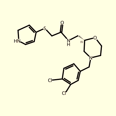 O=C(CSC1=CCNC=C1)NC[C@H]1CN(Cc2ccc(Cl)c(Cl)c2)CCO1